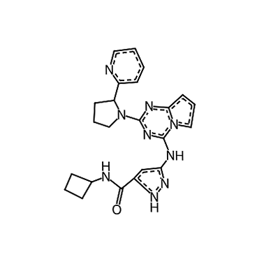 O=C(NC1CCC1)c1cc(Nc2nc(N3CCCC3c3ccccn3)nc3cccn23)n[nH]1